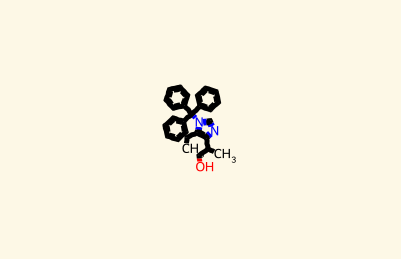 CCc1c(C(C)CO)ncn1C(c1ccccc1)(c1ccccc1)c1ccccc1